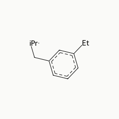 CCc1cccc(C[C](C)C)c1